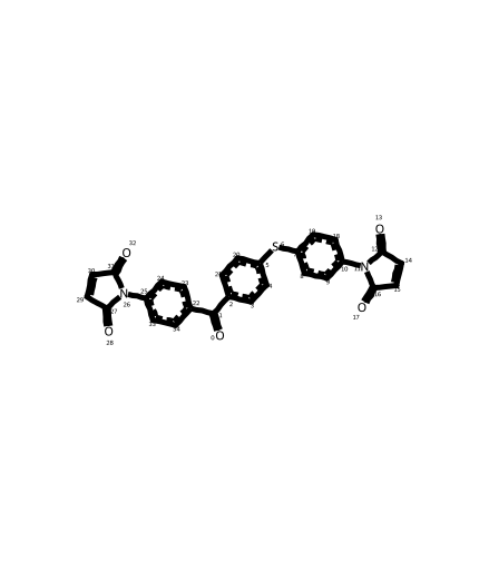 O=C(c1ccc(Sc2ccc(N3C(=O)C=CC3=O)cc2)cc1)c1ccc(N2C(=O)C=CC2=O)cc1